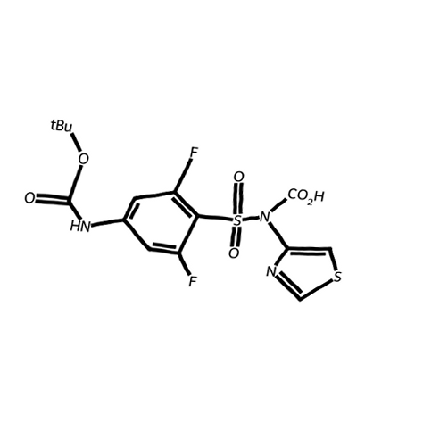 CC(C)(C)OC(=O)Nc1cc(F)c(S(=O)(=O)N(C(=O)O)c2cscn2)c(F)c1